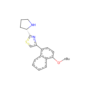 CCCCOc1ccc(-c2csc([C@@H]3CCCN3)n2)c2ccccc12